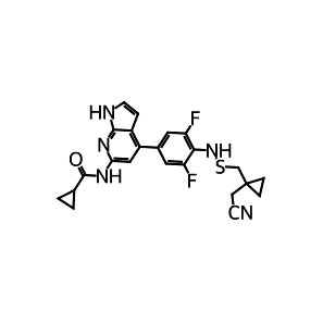 N#CCC1(CSNc2c(F)cc(-c3cc(NC(=O)C4CC4)nc4[nH]ccc34)cc2F)CC1